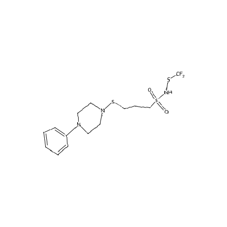 O=S(=O)(CCCSN1CCN(c2ccccc2)CC1)NSC(F)(F)F